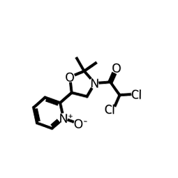 CC1(C)OC(c2cccc[n+]2[O-])CN1C(=O)C(Cl)Cl